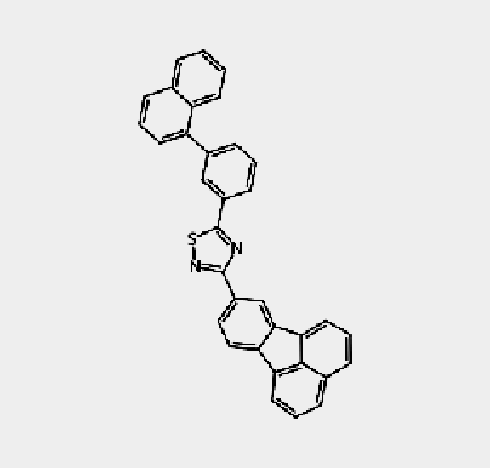 c1cc(-c2nc(-c3ccc4c(c3)-c3cccc5cccc-4c35)ns2)cc(-c2cccc3ccccc23)c1